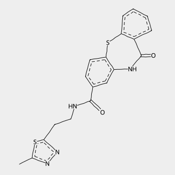 Cc1nnc(CCNC(=O)c2ccc3c(c2)NC(=O)c2ccccc2S3)s1